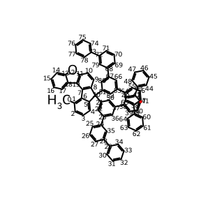 Cc1cccc2c1-c1c(ccc3oc4ccccc4c13)C2(c1cc(-c2cccc(-c3ccccc3)c2)cc(-c2cccc(-c3ccccc3)c2)c1)c1cc(-c2cccc(-c3ccccc3)c2)cc(-c2cccc(-c3ccccc3)c2)c1